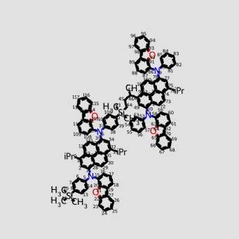 CC(C)c1cc(N(c2ccc([Si](C)(C)C)cc2)c2cccc3c2oc2ccccc23)c2ccc3c(C(C)C)cc(N(c4ccc([Si](C)(C)CCC(C)c5cc(N(c6ccccc6)c6cccc7c6oc6ccccc67)c6ccc7c(C(C)C)cc(N(c8ccccc8)c8cccc9c8oc8ccccc89)c8ccc5c6c78)cc4)c4cccc5c4oc4ccccc45)c4ccc1c2c34